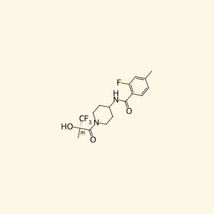 Cc1ccc(C(=O)NC2CCN(C(=O)[C@@](C)(O)C(F)(F)F)CC2)c(F)c1